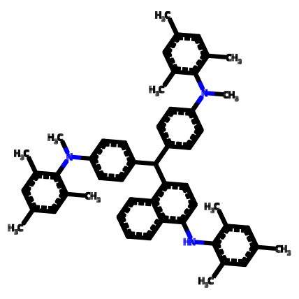 Cc1cc(C)c(Nc2ccc(C(c3ccc(N(C)c4c(C)cc(C)cc4C)cc3)c3ccc(N(C)c4c(C)cc(C)cc4C)cc3)c3ccccc23)c(C)c1